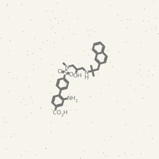 CN(CC(O)CNC(C)(C)Cc1ccc2ccccc2c1)S(=O)(=O)c1ccc(-c2ccc(C(=O)O)cc2N)cc1